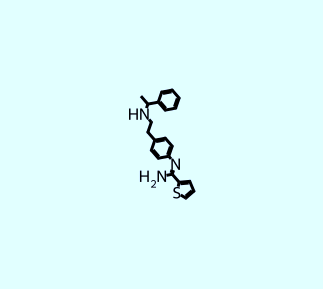 CC(NCCc1ccc(N=C(N)c2cccs2)cc1)c1ccccc1